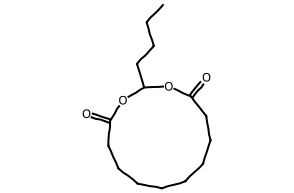 CCCCC1OC(=O)CCCCCCCCC(=O)O1